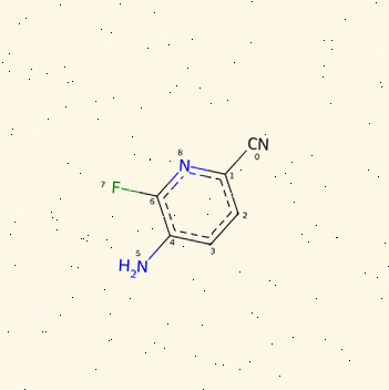 N#Cc1ccc(N)c(F)n1